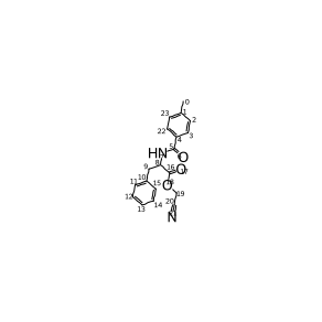 Cc1ccc(C(=O)NC(Cc2ccccc2)C(=O)OCC#N)cc1